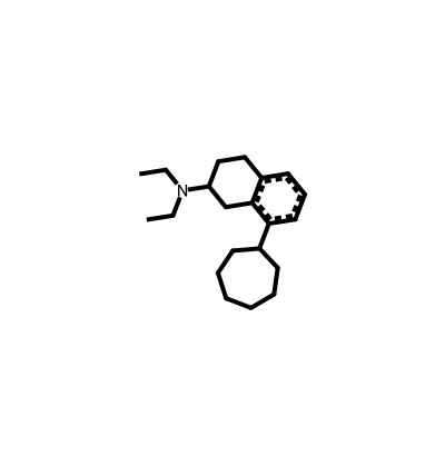 CCN(CC)C1CCc2cccc(C3CCCCCC3)c2C1